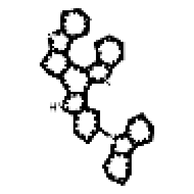 c1ccc2c(c1)sc1ccc3c4[nH]c5ccc(-n6c7ccccc7c7ccccc76)cc5c4c4sc5ccccc5c4c3c12